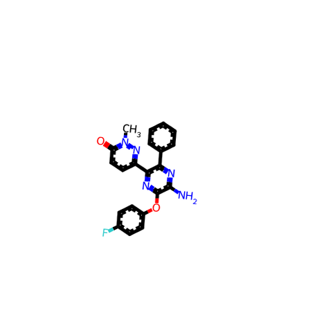 Cn1nc(-c2nc(Oc3ccc(F)cc3)c(N)nc2-c2ccccc2)ccc1=O